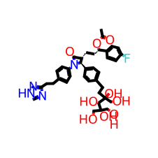 CC(=O)O[C@@H](CC[C@H]1C(=O)N(c2ccc(CCc3nc[nH]n3)cc2)[C@@H]1c1ccc(CCC(O)(CO)C(O)C(O)(CO)CO)cc1)c1ccc(F)cc1